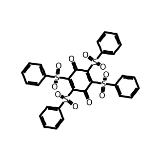 O=C1C(S(=O)(=O)c2ccccc2)=C(S(=O)(=O)c2ccccc2)C(=O)C(S(=O)(=O)c2ccccc2)=C1S(=O)(=O)c1ccccc1